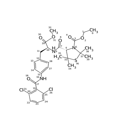 CCOC(=O)N1[C@@H](C(=O)N[C@@H](Cc2ccc(NC(=O)c3c(Cl)cccc3Cl)cc2)C(=O)OC)C(C)(C)SC1(C)C